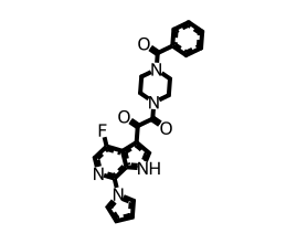 O=C(C(=O)N1CCN(C(=O)c2ccccc2)CC1)c1c[nH]c2c(-n3cccc3)ncc(F)c12